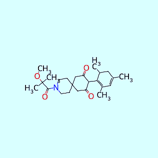 COC(C)(C)C(=O)N1CCC2(CC1)CC(=O)C(C1=C(C)C=C(C)CC1C)C(=O)C2